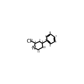 ClC1CC(c2ccccc2)CC[N]1